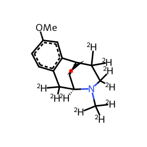 [2H]C([2H])([2H])N1C([2H])([2H])C([2H])([2H])[C@@]23CCCCC2[C@]1([2H])C([2H])([2H])c1ccc(OC)cc13